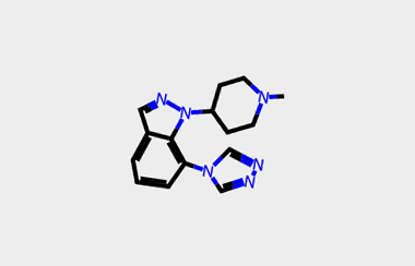 CN1CCC(n2ncc3cccc(-n4cnnc4)c32)CC1